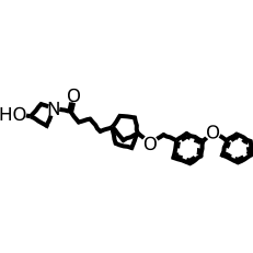 O=C(CCCC12CCC(OCc3cccc(Oc4ccccc4)c3)(CC1)C2)N1CC(O)C1